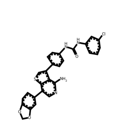 Nc1ncc(-c2ccc3c(c2)OCO3)c2scc(-c3ccc(NC(=O)Nc4cccc(Cl)c4)cc3)c12